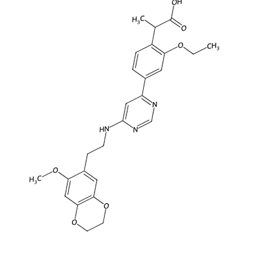 CCOc1cc(-c2cc(NCCc3cc4c(cc3OC)OCCO4)ncn2)ccc1C(C)C(=O)O